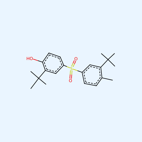 Cc1ccc(S(=O)(=O)c2ccc(O)c(C(C)(C)C)c2)cc1C(C)(C)C